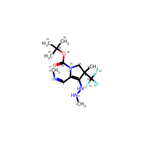 C/N=C\C1=C(NNC)C(C)(C(F)(F)F)CN1C(=O)OC(C)(C)C